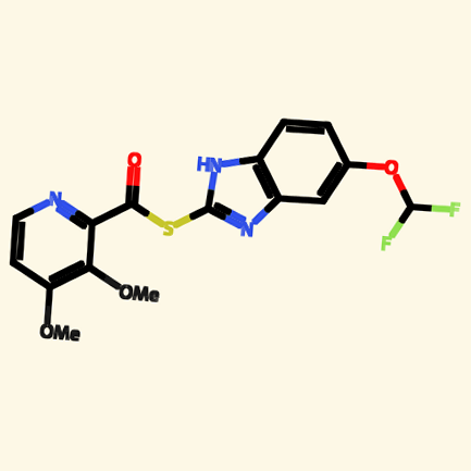 COc1ccnc(C(=O)Sc2nc3cc(OC(F)F)ccc3[nH]2)c1OC